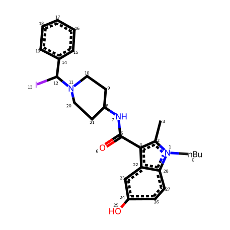 CCCCn1c(C)c(C(=O)NC2CCN(C(I)c3ccccc3)CC2)c2cc(O)ccc21